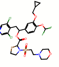 O=C(OC(Cc1c(Cl)cncc1Cl)c1ccc(OC(F)F)c(OCC2CC2)c1)C1SCCN1S(=O)(=O)CCN1CCOCC1